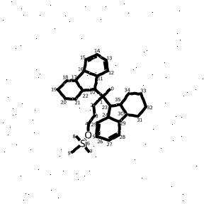 CC(CCCO[Si](C)(C)C)(C1C2C=CC=CC2C2CCCCC21)C1C2C=CC=CC2C2CCCCC21